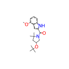 COc1cccc2[nH]c(C(=O)N3CC(OC(C)(C)C)CC3(C)C)cc12